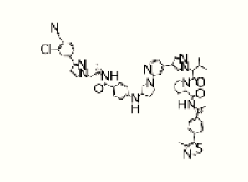 Cc1ncsc1-c1ccc([C@H](C)NC(=O)C2CCCN2C(=O)C(C(C)C)n2cc(-c3ccnc(N4CCC(Nc5ccc(C(=O)N[C@@H](C)Cn6ccc(-c7ccc(C#N)c(Cl)c7)n6)cc5)C4)c3)cn2)cc1